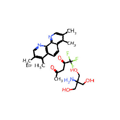 CC(=O)CC(=O)C(F)(F)F.Cc1cnc2c(ccc3c(C)c(C)cnc32)c1C.NC(CO)(CO)CO.[Eu]